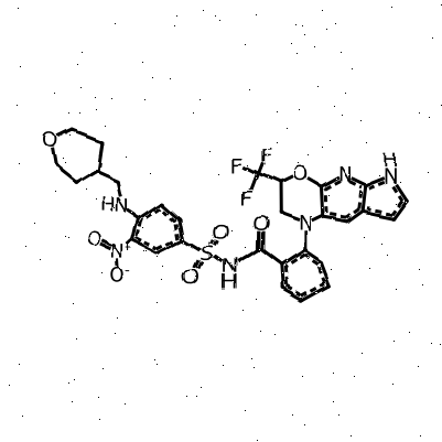 O=C(NS(=O)(=O)c1ccc(NCC2CCOCC2)c([N+](=O)[O-])c1)c1ccccc1N1CC(C(F)(F)F)Oc2nc3[nH]ccc3cc21